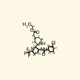 CCOC(=O)CC1CCNC(c2nc(C(F)(F)F)ccc2NC(=O)c2cccc(Cl)c2)C1